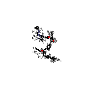 C/C=C/[C@@H]1O[C@H]([C@@H](/C=C/C=C(\C)C[C@@H](C)/C=C(C)\C=C\[C@H]2CC=CC(=O)O2)NC(=O)OCc2ccc(NC(=O)[C@H](CCCNC(N)=O)NC(=O)[C@@H](NC(=O)OC[C@@H]3[C@@H]4CCc5nnn(CCC[C@H](NC(=O)CC[C@@H](C)NC(=O)c6ccc(NCc7cnc8nc(N)nc(O)c8n7)cc6)C(=O)N[C@H](CCCCN)C(=O)O)c5CC[C@@H]43)C(C)C)cc2)C[C@@H](O)[C@@H]1C